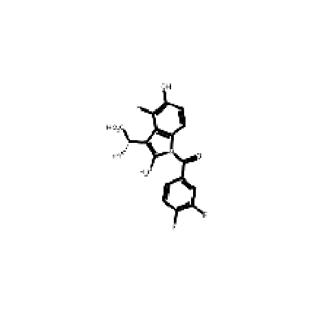 CCC[C@H](C(=O)O)c1c(C)n(C(=O)c2ccc(F)c(F)c2)c2ccc(O)c(F)c12